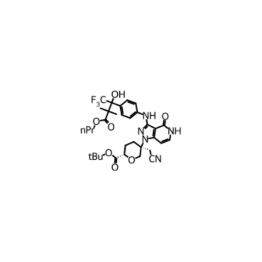 CCCOC(=O)C(C)(C)C(O)(c1ccc(Nc2nn([C@]3(CC#N)CC[C@@H](C(=O)OC(C)(C)C)OC3)c3cc[nH]c(=O)c23)cc1)C(F)(F)F